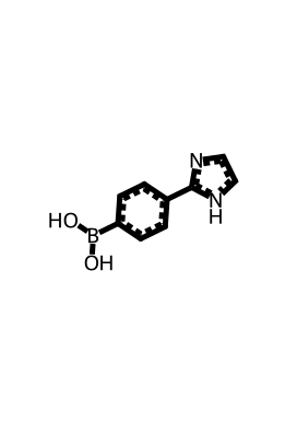 OB(O)c1ccc(-c2ncc[nH]2)cc1